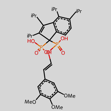 COc1cc(C=COP(=O)(O)C2(P(=O)(O)O)C(C(C)C)=C(C(C)C)c3c2ccc(C(C)C)c3C(C)C)cc(OC)c1OC